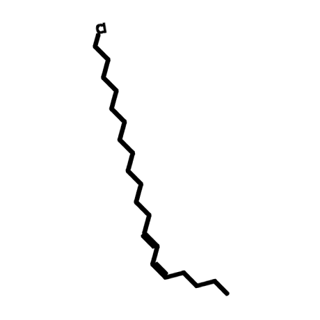 CCCC/C=C\C=C\CCCCCCCCCCCCCl